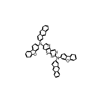 c1ccc2cc3cc(N(c4ccc5c(c4)oc4ccccc45)c4cnc5c(c4)sc4nc(N(c6ccc7cc8ccccc8cc7c6)c6ccc7c(c6)oc6ccccc67)ncc45)ccc3cc2c1